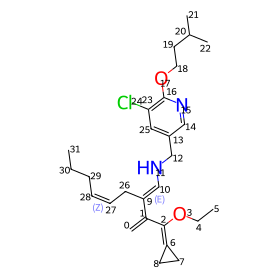 C=C(C(OCC)=C1CC1)/C(=C/NCc1cnc(OCCC(C)C)c(Cl)c1)C/C=C\CCC